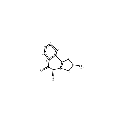 CC1CC2=C(C1)c1ccccc1C(=O)C2=O